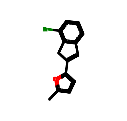 Cc1ccc(C2=Cc3cccc(Br)c3C2)o1